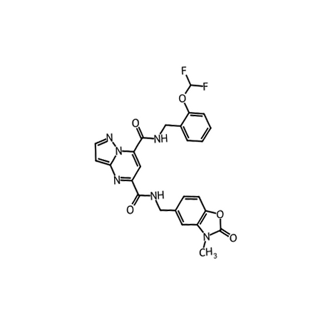 Cn1c(=O)oc2ccc(CNC(=O)c3cc(C(=O)NCc4ccccc4OC(F)F)n4nccc4n3)cc21